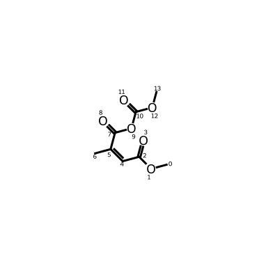 COC(=O)C=C(C)C(=O)OC(=O)OC